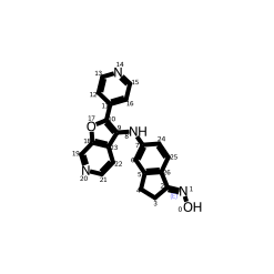 O/N=C1\CCc2cc(Nc3c(-c4ccncc4)oc4cnccc34)ccc21